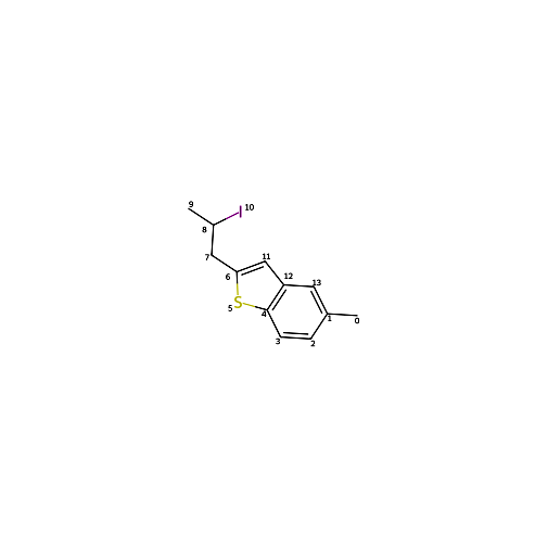 Cc1ccc2sc(CC(C)I)cc2c1